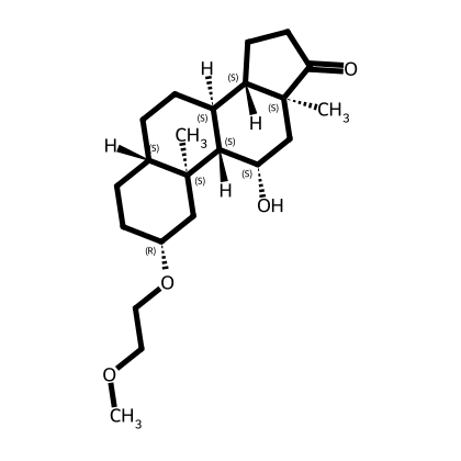 COCCO[C@@H]1CC[C@@H]2CC[C@@H]3[C@H]([C@@H](O)C[C@]4(C)C(=O)CC[C@@H]34)[C@@]2(C)C1